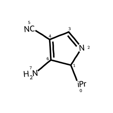 CC(C)C1N=CC(C#N)=C1N